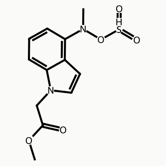 COC(=O)Cn1ccc2c(N(C)O[SH](=O)=O)cccc21